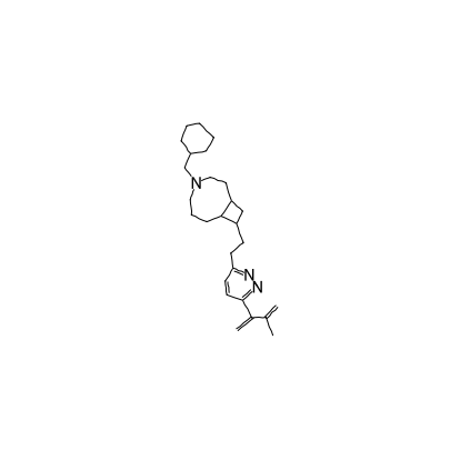 C=C(C)C(=C)c1ccc(CCC2CC3CCN(CC4CCCCC4)CCCC23)nn1